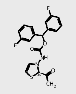 [CH2]C(=O)[C@H]1SC=CN1NC(=O)OC(c1cccc(F)c1)c1cccc(F)c1